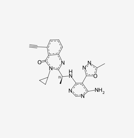 C#Cc1cccc2nc([C@H](C)Nc3ncnc(N)c3-c3nnc(C)o3)n(C3CC3)c(=O)c12